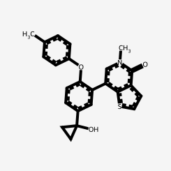 Cc1ccc(Oc2ccc(C3(O)CC3)cc2-c2cn(C)c(=O)c3ccsc23)cc1